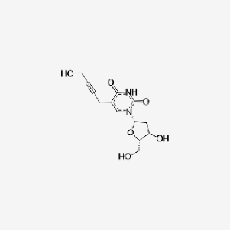 O=c1[nH]c(=O)n([C@@H]2CC(O)[C@H](CO)O2)cc1CC#CCO